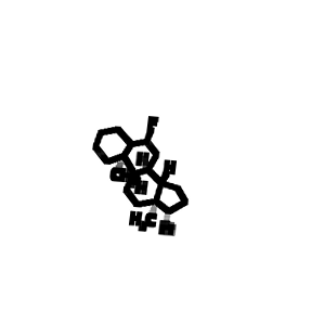 CC[C@H]1CC[C@H]2[C@@H]3C[C@H](F)C4CCCC[C@]4(C)[C@H]3CC[C@]12C